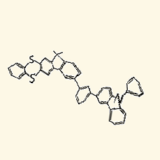 CC1(C)c2ccc(-c3cccc(-c4ccc5c(c4)c4ccccc4n5-c4ccccc4)c3)cc2-c2cc3c(cc21)Sc1ccccc1S3